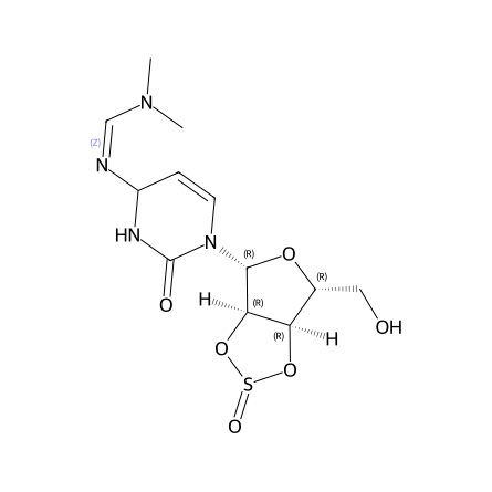 CN(C)/C=N\C1C=CN([C@@H]2O[C@H](CO)[C@H]3OS(=O)O[C@H]32)C(=O)N1